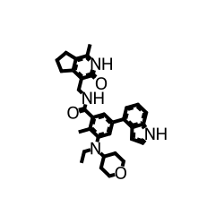 CCN(c1cc(-c2cccc3[nH]ccc23)cc(C(=O)NCc2c3c(c(C)[nH]c2=O)CCC3)c1C)C1CCOCC1